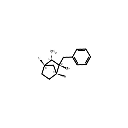 CC[C@@]1(Cc2ccccc2)[C@@H]2CC[C@@H](C2)[C@@H]1N